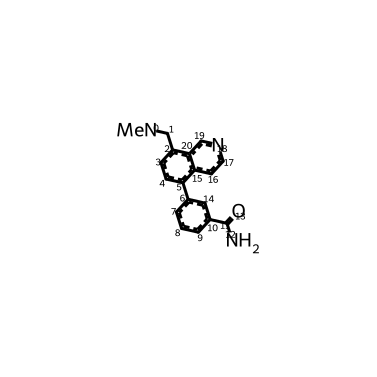 CNCc1ccc(-c2cccc(C(N)=O)c2)c2ccncc12